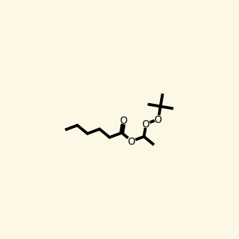 CCCCCC(=O)OC(C)OOC(C)(C)C